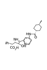 CC(C)C[C@H](N)[C@](O)(Cc1cc(NC(=O)[C@H]2CC[C@H](C)CC2)ccn1)C(=O)O